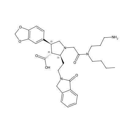 CCCCN(CCCN)C(=O)CN1C[C@H](c2ccc3c(c2)OCO3)[C@@H](C(=O)O)[C@@H]1CCN1Cc2ccccc2C1=O